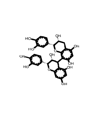 O=Nc1ccc([C@H]2Oc3cc(O)cc(O)c3C(c3c(O)cc(O)c4c3O[C@H](c3ccc(O)c(O)c3)[C@H](O)C4)[C@H]2O)cc1O